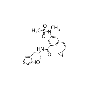 CN(c1cc(/C=C\C2CC2)cc(C(=O)N[C@H](CO)Cc2ccsc2)c1)S(C)(=O)=O